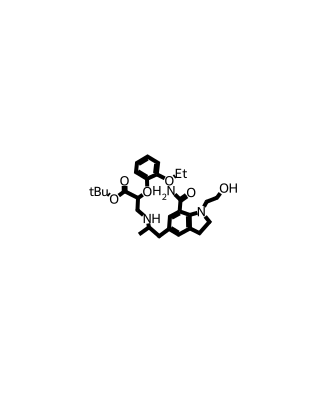 CCOc1ccccc1OC(CNC(C)Cc1cc2c(c(C(N)=O)c1)N(CCO)CC2)C(=O)OC(C)(C)C